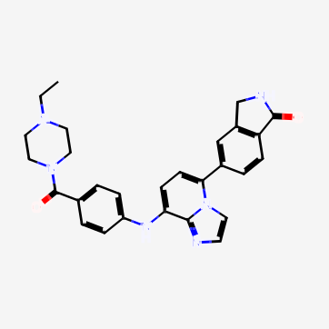 CCN1CCN(C(=O)c2ccc(Nc3ccc(-c4ccc5c(c4)CNC5=O)n4ccnc34)cc2)CC1